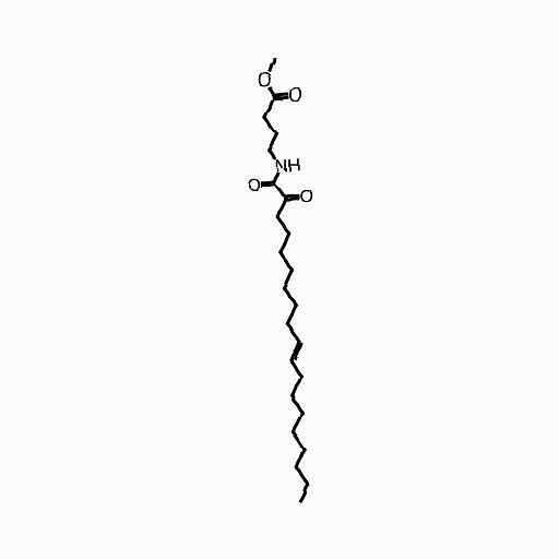 CCCCCCCC/C=C/CCCCCCCC(=O)C(=O)NCCCC(=O)OC